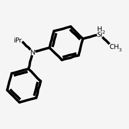 C[SiH2]c1ccc(N(c2ccccc2)C(C)C)cc1